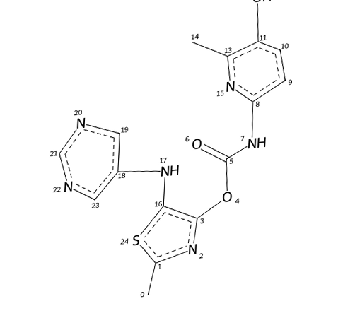 Cc1nc(OC(=O)Nc2ccc(O)c(C)n2)c(Nc2cncnc2)s1